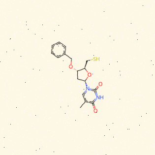 Cc1cn([C@H]2C[C@H](OCc3ccccc3)[C@@H](CS)O2)c(=O)[nH]c1=O